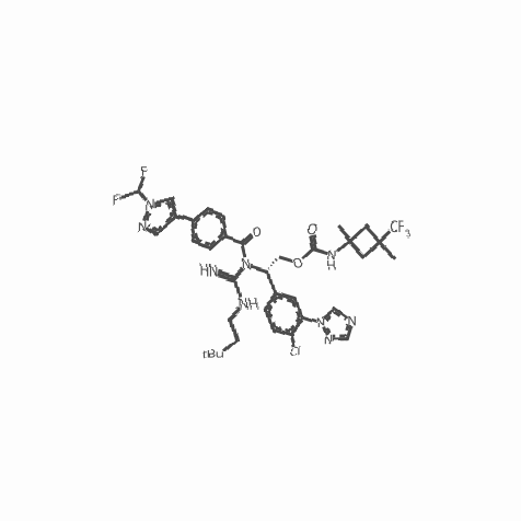 CC(C)(C)CCNC(=N)N(C(=O)c1ccc(-c2cnn(C(F)F)c2)cc1)[C@H](COC(=O)NC1(C)CC(C)(C(F)(F)F)C1)c1ccc(Cl)c(-n2cncn2)c1